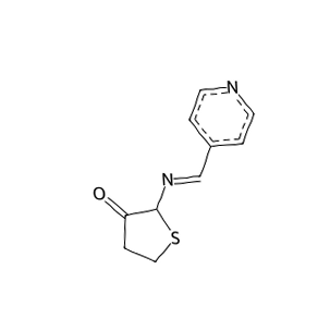 O=C1CCSC1N=Cc1ccncc1